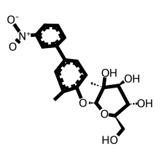 Cc1cc(-c2cccc([N+](=O)[O-])c2)ccc1O[C@H]1O[C@H](CO)[C@@H](O)[C@H](O)[C@]1(C)O